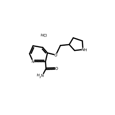 Cl.NC(=O)c1ncccc1OCC1CCNC1